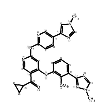 COc1c(Nc2cc(Nc3ccc(-c4cn(C)cn4)cn3)ncc2C(=O)C2CC2)cccc1-c1ncn(C)n1